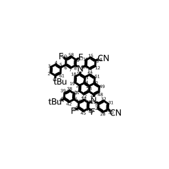 CC(C)(C)c1cccc(-c2cc(N(c3ccc(C#N)cc3)c3ccc4ccc5c(N(c6ccc(C#N)cc6)c6cc(-c7cccc(C(C)(C)C)c7)c(F)cc6F)ccc6ccc3c4c65)c(F)cc2F)c1